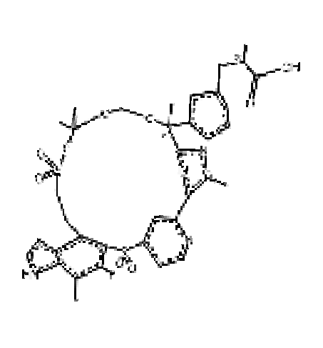 C[C@H](Cc1cccc([C@@]2(C)CCCC(C)(C)CS(=O)(=O)CCc3c(c(F)c(F)c4[nH]ccc34)S(=O)(=O)c3ccnc(c3)-c3nc2nn3C)c1)C(=O)O